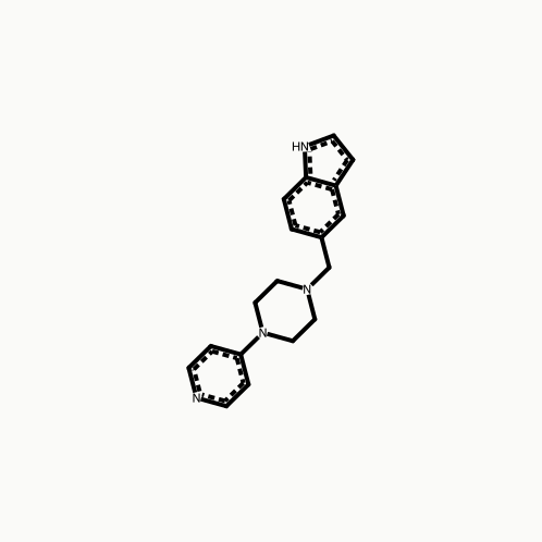 c1cc(N2CCN(Cc3ccc4[nH]ccc4c3)CC2)ccn1